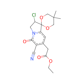 CCOC(=O)Cc1cc2n(c(=O)c1C#N)CC(Cl)C21OCC(C)(C)CO1